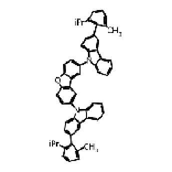 Cc1cccc(C(C)C)c1-c1ccc2c(c1)c1ccccc1n2-c1ccc2oc3ccc(-n4c5ccccc5c5cc(-c6c(C)cccc6C(C)C)ccc54)cc3c2c1